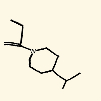 C=C(CC)N1CCC(C(C)C)CC1